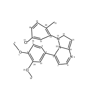 COc1ccc(C2=CC=NC3=CCN(c4cc(Cl)ccc4C)N32)cc1OC